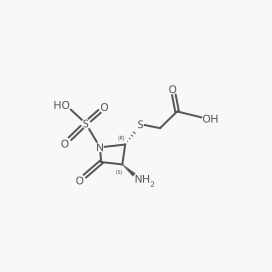 N[C@H]1C(=O)N(S(=O)(=O)O)[C@@H]1SCC(=O)O